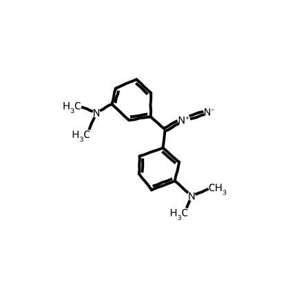 CN(C)c1cccc(C(=[N+]=[N-])c2cccc(N(C)C)c2)c1